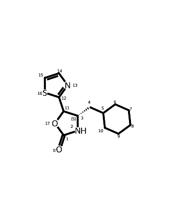 O=C1N[C@@H](CC2CCCCC2)C(c2nccs2)O1